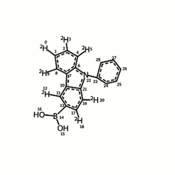 [2H]c1c([2H])c([2H])c2c(c1[2H])c1c([2H])c(B(O)O)c([2H])c([2H])c1n2-c1ccccc1